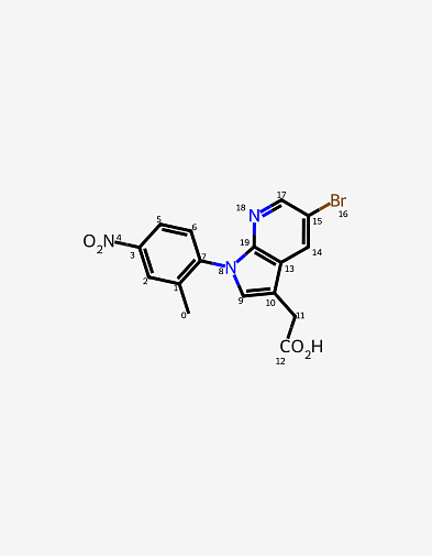 Cc1cc([N+](=O)[O-])ccc1-n1cc(CC(=O)O)c2cc(Br)cnc21